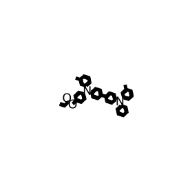 C=CC(=O)Oc1ccc(N(c2ccc(-c3ccc(N(c4ccccc4)c4cccc(C)c4)cc3)cc2)c2cccc(C)c2)cc1